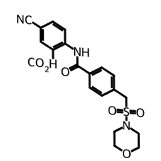 N#Cc1ccc(NC(=O)c2ccc(CS(=O)(=O)N3CCOCC3)cc2)c(C(=O)O)c1